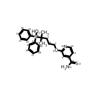 CC(C)(CCCOc1cc(C(N)=S)ccn1)[Si](O)(c1ccccc1)c1ccccc1